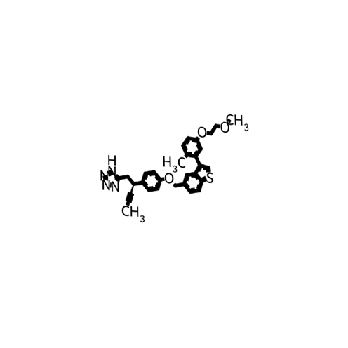 CC#C[C@@H](Cc1nnn[nH]1)c1ccc(OCc2ccc3scc(-c4cc(OCCOC)ccc4C)c3c2)cc1